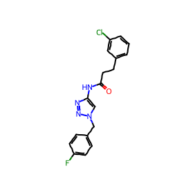 O=C(CCc1cccc(Cl)c1)Nc1cn(Cc2ccc(F)cc2)nn1